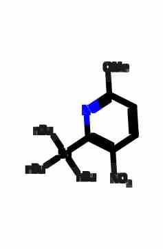 CCC[CH2][Sn]([CH2]CCC)([CH2]CCC)[c]1nc(OC)ccc1[N+](=O)[O-]